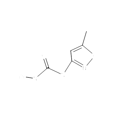 Cc1cc(NC(=O)NC(C)C)no1